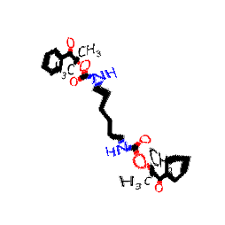 CC(C)(OC(=O)NCCCCCCNC(=O)OC(C)(C)C(=O)c1ccccc1)C(=O)c1ccccc1